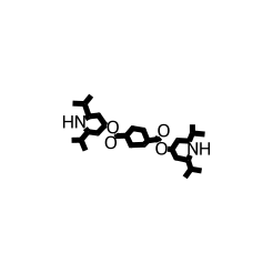 CC(C)C1CC(OC(=O)C2CCC(C(=O)OC3CC(C(C)C)NC(C(C)C)C3)CC2)CC(C(C)C)N1